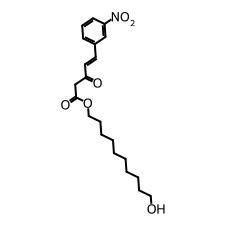 O=C(C=Cc1cccc([N+](=O)[O-])c1)CC(=O)OCCCCCCCCCCO